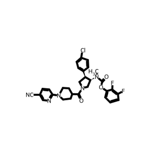 CN(C(=O)Oc1cccc(F)c1F)[C@@H]1CN(C(=O)C2CCN(c3ccc(C#N)cn3)CC2)C[C@H]1c1ccc(Cl)cc1